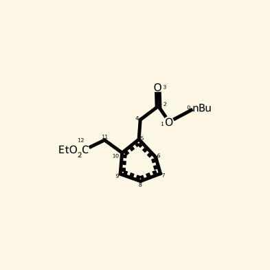 CCCCOC(=O)Cc1ccccc1CC(=O)OCC